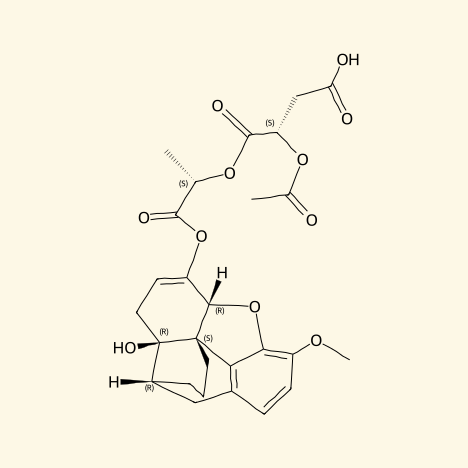 COc1ccc2c3c1O[C@H]1C(OC(=O)[C@H](C)OC(=O)[C@H](CC(=O)O)OC(C)=O)=CC[C@@]4(O)[C@H](CCC[C@]314)C2